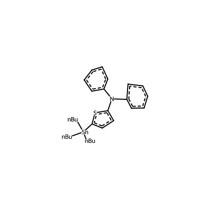 CCC[CH2][Sn]([CH2]CCC)([CH2]CCC)[c]1ccc(N(c2ccccc2)c2ccccc2)s1